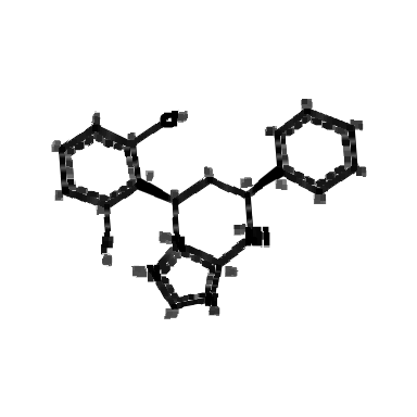 Fc1cccc(Cl)c1[C@H]1C[C@@H](c2ccccc2)Nc2ncnn21